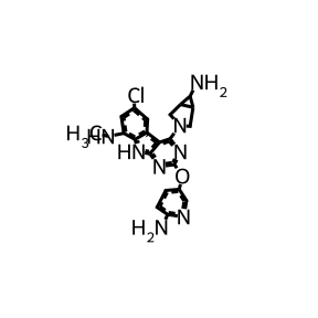 CNc1cc(Cl)cc2c1[nH]c1nc(Oc3ccc(N)nc3)nc(N3CC4C(N)C4C3)c12